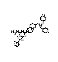 Nc1nc(N2CCN3CC(CN(Cc4ccncc4)Cc4ccncc4)CCC3C2)nc2nc(-c3ccco3)nn12